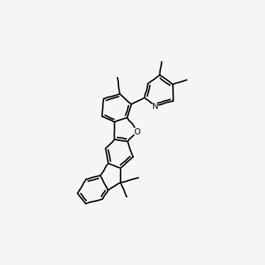 Cc1cnc(-c2c(C)ccc3c2oc2cc4c(cc23)-c2ccccc2C4(C)C)cc1C